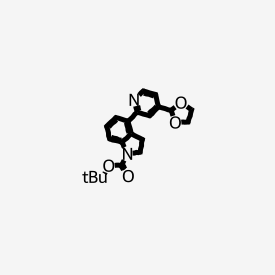 CC(C)(C)OC(=O)N1CCc2c(-c3cc(C4OCCO4)ccn3)cccc21